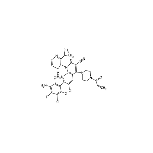 C=CC(=O)N1CCN(c2c(C#N)c(=O)n(C3C(C(C)C)=NC=C[C@H]3C)c3nc(-c4c(Cl)c(N)c(F)c(Cl)c4Cl)c(Cl)cc23)CC1